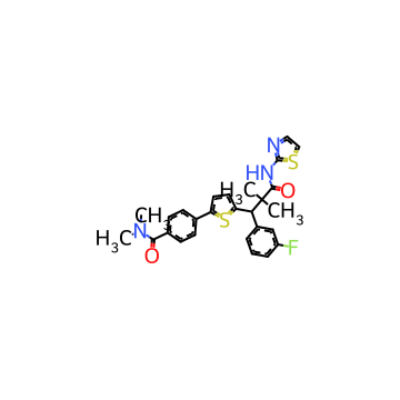 CN(C)C(=O)c1ccc(-c2ccc(C(c3cccc(F)c3)C(C)(C)C(=O)Nc3nccs3)s2)cc1